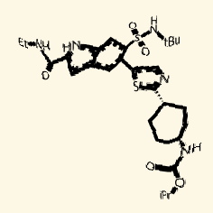 CCNC(=O)c1cc2cc(-c3cnc([C@H]4CC[C@H](NC(=O)OC(C)C)CC4)s3)c(S(=O)(=O)NC(C)(C)C)cc2[nH]1